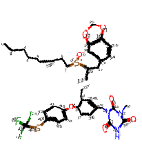 CCCCCCCC[S+]([O-])C(C)Cc1ccc2c(c1)OCO2.Cc1cc(-n2c(=O)[nH]c(=O)n(C)c2=O)ccc1Oc1ccc(SC(F)(F)F)cc1